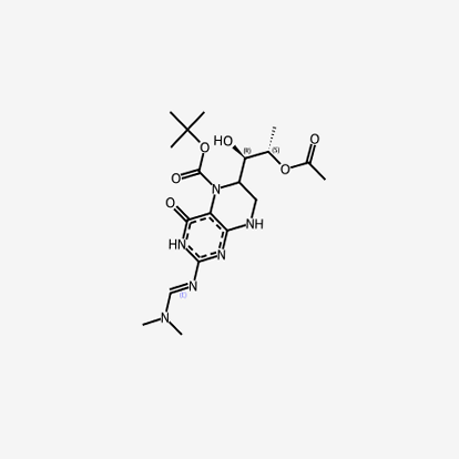 CC(=O)O[C@@H](C)[C@H](O)C1CNc2nc(/N=C/N(C)C)[nH]c(=O)c2N1C(=O)OC(C)(C)C